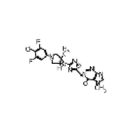 Cn1cnc2ncn(Cc3nc([C@H]4[C@@H]5CN(c6cc(F)c(Cl)c(F)c6)CC54C)no3)c(=O)c21